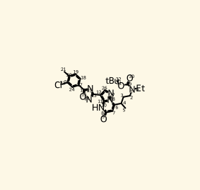 CCN(CCC(C)c1cc(=O)[nH]c2c(-c3noc(-c4ccc(C)c(Cl)c4)n3)cnn12)C(=O)OC(C)(C)C